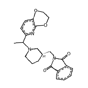 CC(c1ccc2c(n1)OCCO2)N1CCC[C@@H](CN2C(=O)c3ccccc3C2=O)C1